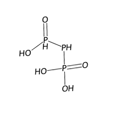 O=[PH](O)PP(=O)(O)O